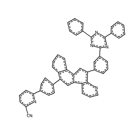 N#Cc1cccc(-c2ccc(-c3cc4c5cccnc5c(-c5cccc(-c6nc(-c7ccccc7)nc(-c7ccccc7)n6)c5)cc4c4ccccc34)cc2)n1